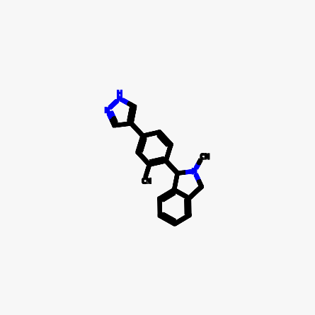 N#Cc1cc(-c2cn[nH]c2)ccc1C1c2ccccc2CN1C#N